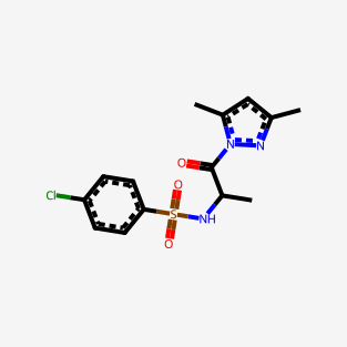 Cc1cc(C)n(C(=O)C(C)NS(=O)(=O)c2ccc(Cl)cc2)n1